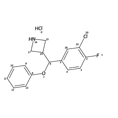 Cl.Fc1ccc(C(Oc2ccccc2)C2CNC2)cc1Cl